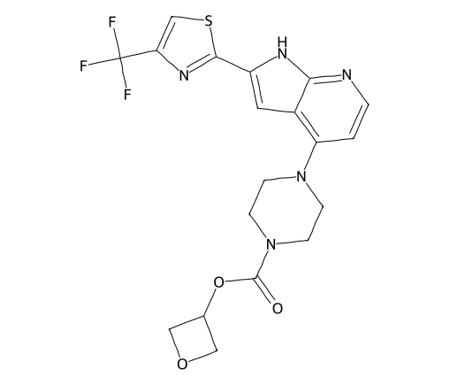 O=C(OC1COC1)N1CCN(c2ccnc3[nH]c(-c4nc(C(F)(F)F)cs4)cc23)CC1